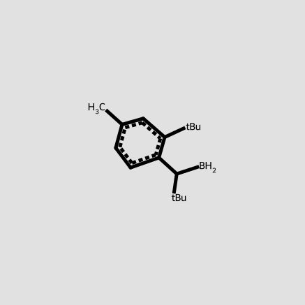 BC(c1ccc(C)cc1C(C)(C)C)C(C)(C)C